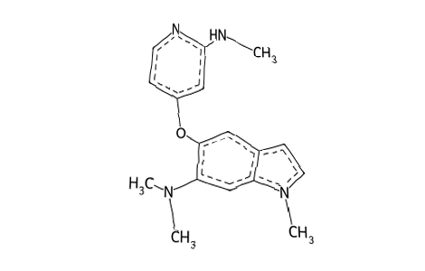 CNc1cc(Oc2cc3ccn(C)c3cc2N(C)C)ccn1